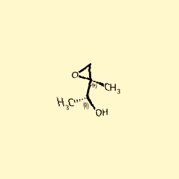 C[C@@H](O)[C@@]1(C)CO1